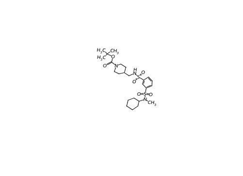 CN(C1CCCCC1)S(=O)(=O)c1cccc(S(=O)(=O)NCC2CCN(C(=O)OC(C)(C)C)CC2)c1